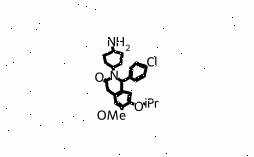 COc1cc2c(cc1OC(C)C)C(c1ccc(Cl)cc1)N(C1CCC(N)CC1)C(=O)C2